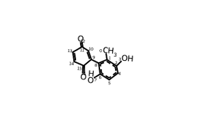 Cc1c(O)ccc(O)c1C1=CC(=O)C=CC1=O